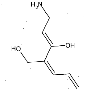 C=C/C=C(CO)\C(O)=C\CN